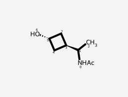 CC(=O)NC(C)[C@H]1C[C@H](O)C1